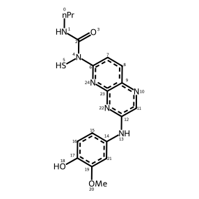 CCCNC(=O)N(S)c1ccc2ncc(Nc3ccc(O)c(OC)c3)nc2n1